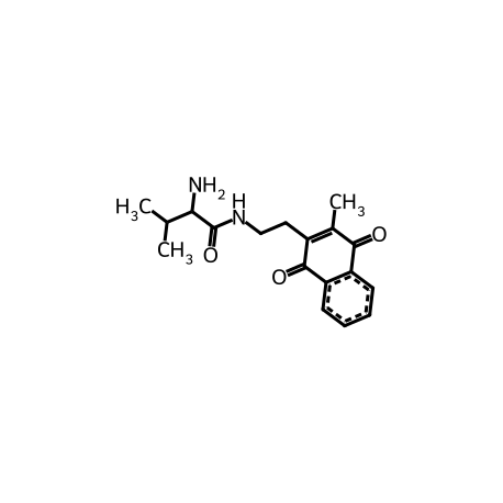 CC1=C(CCNC(=O)C(N)C(C)C)C(=O)c2ccccc2C1=O